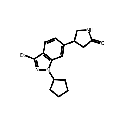 CCc1nn(C2CCCC2)c2cc(C3CNC(=O)C3)ccc12